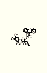 C#CC[C@@]1(O)[C@@H](CNC(=O)C2c3ccccc3Sc3ccccc32)O[C@@H](n2cc(CC)c(=O)[nH]c2=O)[C@@H]1F